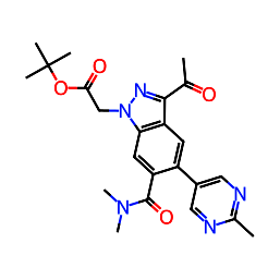 CC(=O)c1nn(CC(=O)OC(C)(C)C)c2cc(C(=O)N(C)C)c(-c3cnc(C)nc3)cc12